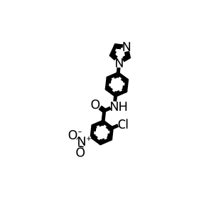 O=C(Nc1ccc(-n2ccnc2)cc1)c1cc([N+](=O)[O-])ccc1Cl